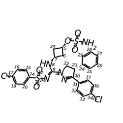 NS(=O)(=O)O[C@H]1C[C@@H](N/C(=N\S(=O)(=O)c2ccc(C(F)(F)F)cc2)N2C[C@H](c3ccccc3)C(c3ccc(Cl)cc3)=N2)C1